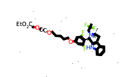 CCOC(=O)COCCOCCCCCOc1cc(F)c([C@@H]2c3[nH]c4ccccc4c3C[C@@H](C)N2CC(C)(F)F)c(F)c1